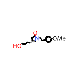 COc1ccc(CCN2C[C@H](CCC=CO)CC2=O)cc1